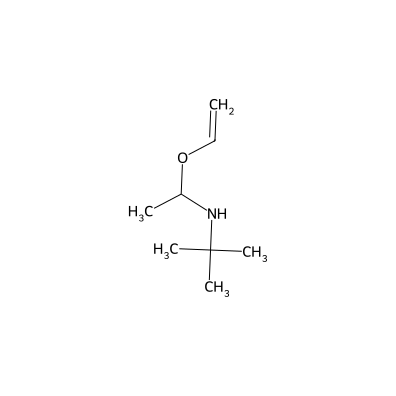 C=COC(C)NC(C)(C)C